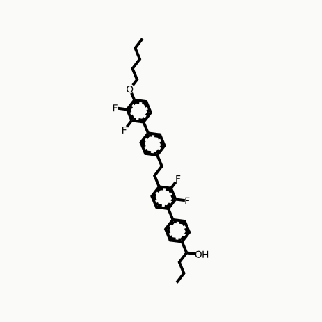 CCCCCOc1ccc(-c2ccc(CCc3ccc(-c4ccc(C(O)CCC)cc4)c(F)c3F)cc2)c(F)c1F